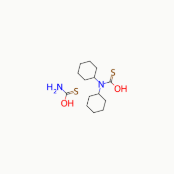 NC(O)=S.OC(=S)N(C1CCCCC1)C1CCCCC1